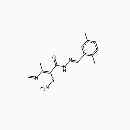 C=N/C(C)=C(\SN)C(=O)N/N=C/c1cc(C)ccc1C